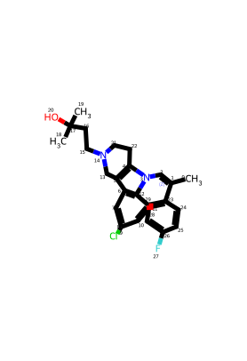 C/C(=C/n1c2c(c3cc(Cl)ccc31)CN(CCC(C)(C)O)CC2)c1ccc(F)cc1